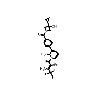 CC1C(c2ccc(C(=O)N3CC(O)(C4CC4)C3)cc2)=CC=CN1C(=O)/C(Br)=C(\N)C(F)(F)F